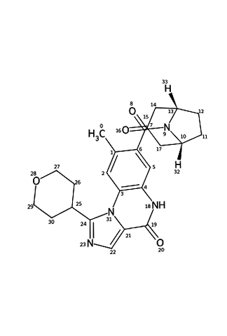 Cc1cc2c(cc1C(=O)N1[C@@H]3CC[C@H]1CC(=O)C3)[nH]c(=O)c1cnc(C3CCOCC3)n12